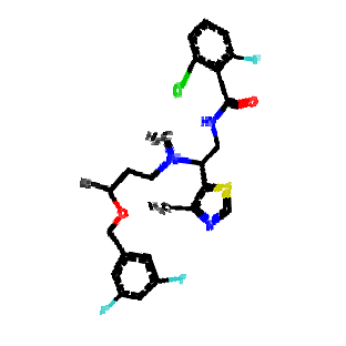 CCC(CCN(C)C(CNC(=O)c1c(F)cccc1Cl)c1scnc1C)OCc1cc(F)cc(F)c1